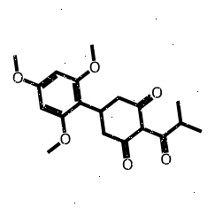 COc1cc(OC)c(C2CC(=O)C(C(=O)C(C)C)C(=O)C2)c(OC)c1